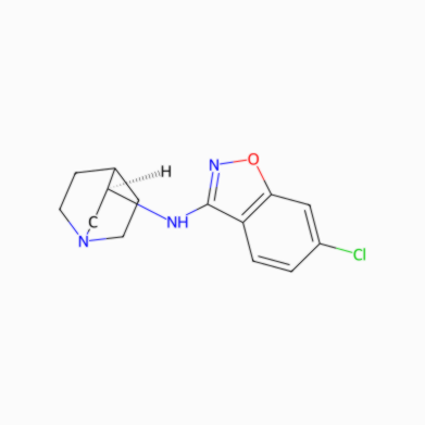 Clc1ccc2c(N[C@H]3CN4CCC3CC4)noc2c1